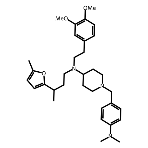 COc1ccc(CCN(CCC(C)c2ccc(C)o2)C2CCN(Cc3ccc(N(C)C)cc3)CC2)cc1OC